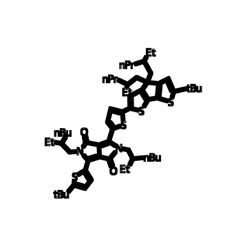 CCCCC(CC)CN1C(=O)C2=C(c3ccc(C(C)(C)C)s3)N(CC(CC)CCCC)C(=O)C2=C1c1ccc(-c2cc3c(s2)-c2sc(C(C)(C)C)cc2C3(CC(CC)CCC)CC(CC)CCC)s1